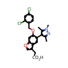 Cc1nn(C)c(C)c1-c1cc2c(CC(=O)O)coc2cc1OCc1ccc(Cl)cc1Cl